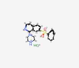 Cl.O=S(=O)(c1ccccc1)c1ccc2ccnc(N3CCNCC3)c2c1